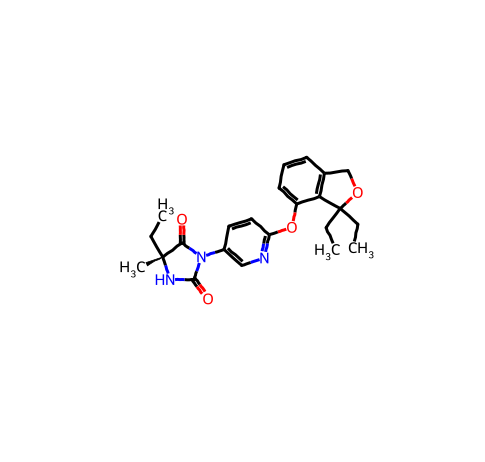 CCC1(CC)OCc2cccc(Oc3ccc(N4C(=O)N[C@](C)(CC)C4=O)cn3)c21